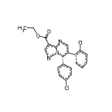 CCOC(=O)c1cnn2c(-c3ccc(Cl)cc3)c(-c3ccccc3Cl)cnc12